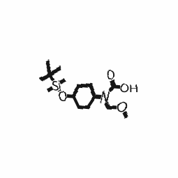 COCN(C(=O)O)C1CCC(O[Si](C)(C)C(C)(C)C)CC1